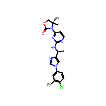 CC(C)c1cc(-n2cnc([C@H](C)Nc3nccc(N4C(=O)OC[C@@]4(C)C(C)C)n3)c2)ccc1Cl